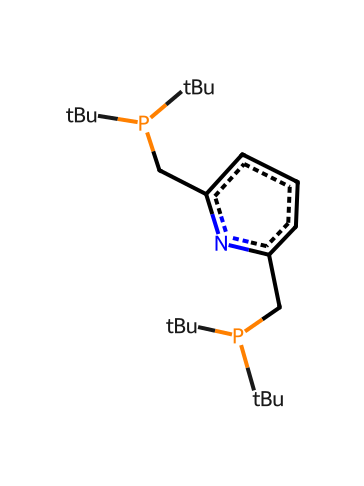 CC(C)(C)P(Cc1cccc(CP(C(C)(C)C)C(C)(C)C)n1)C(C)(C)C